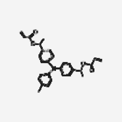 C=CC(=O)OC(C)c1ccc(N(c2ccc(C)cc2)c2ccc(C(C)OC(=O)C=C)cc2)cc1